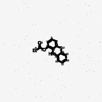 CCC(=O)Oc1cccc2c1Nc1ccccc1S2